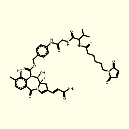 Cc1ccc2c(c1O)N(C(=O)OCc1ccc(NC(=O)CNC(=O)C(NC(=O)CCCCCN3C(=O)C=CC3=O)C(C)C)cc1)[C@@H](O)[C@@H]1CC(/C=C/C(N)=O)=CN1C2=O